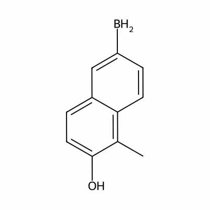 Bc1ccc2c(C)c(O)ccc2c1